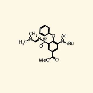 CCCCN(C(C)=O)c1cc(C(=O)OC)cc(S(=O)(=O)N=CN(C)C)c1Oc1ccccc1